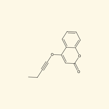 CCC#COc1cc(=O)oc2ccccc12